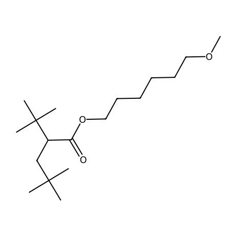 COCCCCCCOC(=O)C(CC(C)(C)C)C(C)(C)C